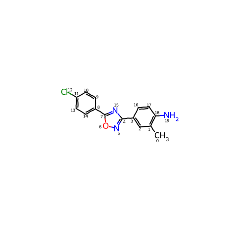 Cc1cc(-c2noc(-c3ccc(Cl)cc3)n2)ccc1N